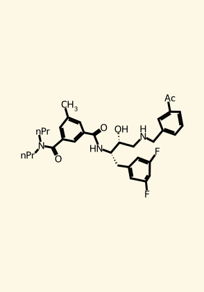 CCCN(CCC)C(=O)c1cc(C)cc(C(=O)N[C@@H](Cc2cc(F)cc(F)c2)[C@H](O)CNCc2cccc(C(C)=O)c2)c1